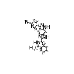 CC(NC(=O)c1nc2cc3c(-c4ccc(C#N)nc4)n[nH]c3cc2[nH]1)c1ccccc1